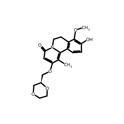 COc1c(O)ccc2c1CCn1c-2c(C)c(OC[C@@H]2COCCO2)cc1=O